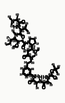 CC[C@H](C)[C@@H]([C@@H](CC(=O)N1CCC[C@H]1[C@H](OC)[C@@H](C)C(=O)N(C)CCc1cccc(NC(=O)[C@H](C)NC(=O)[C@H](C)NC(=O)OC(C)(C)C)c1)OC)N(C)C(=O)[C@@H](NC(=O)[C@H](C)N(C)C)C(C)C